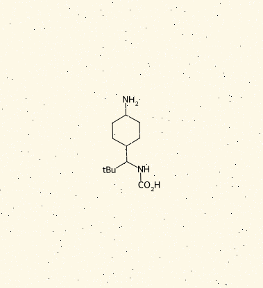 CC(C)(C)C(NC(=O)O)C1CCC(N)CC1